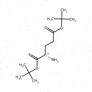 CC(C)(C)OC(=O)CC[C@H](N)C(=S)OC(C)(C)C